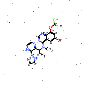 CC(c1nccnc1-n1nccn1)N(C)c1ncnc2c(OC(F)F)cc(Br)cc12